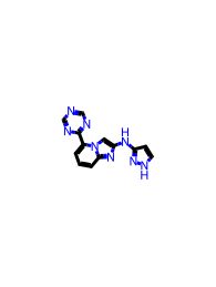 c1cc(-c2ncncn2)n2cc(Nc3cc[nH]n3)nc2c1